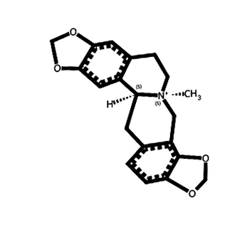 C[N@@+]12CCc3cc4c(cc3[C@@H]1Cc1ccc3c(c1C2)OCO3)OCO4